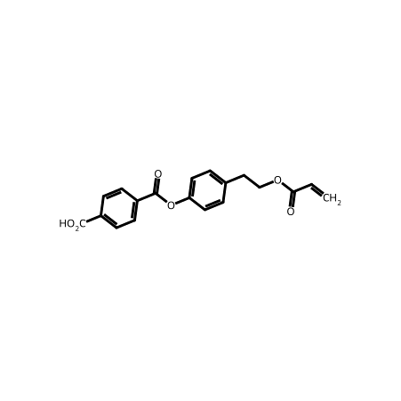 C=CC(=O)OCCc1ccc(OC(=O)c2ccc(C(=O)O)cc2)cc1